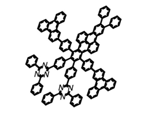 c1ccc(-c2nc(-c3ccccc3)nc(-c3ccc(-c4c(-c5ccc(-c6nc(-c7ccccc7)nc(-c7ccccc7)n6)cc5)c(-c5ccc(-c6ccc7c8ccccc8c8ccccc8c7c6)cc5)c5c6cccc7c8cc(-c9ccccc9)c(-c9ccccc9)cc8c8cccc(c5c4-c4ccc(-c5ccc9c%10ccccc%10c%10ccccc%10c9c5)cc4)c8c76)cc3)n2)cc1